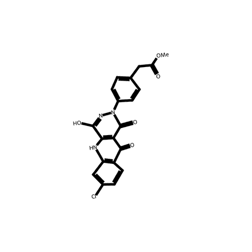 COC(=O)Cc1ccc(-n2nc(O)c3[nH]c4cc(Cl)ccc4c(=O)c3c2=O)cc1